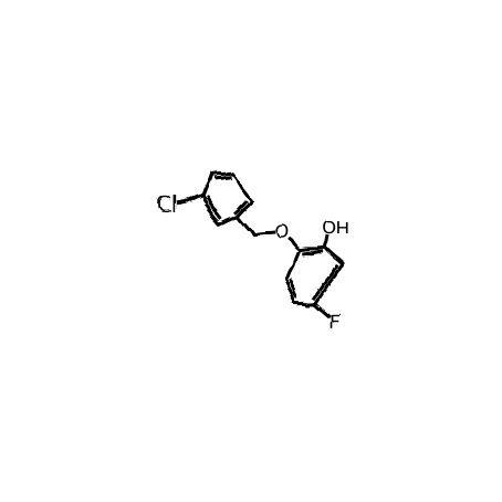 Oc1cc(F)ccc1OCc1cccc(Cl)c1